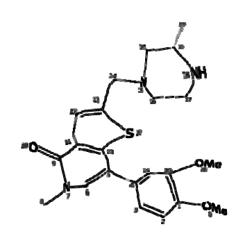 COc1ccc(-c2cn(C)c(=O)c3cc(CN4CCN[C@@H](C)C4)sc23)cc1OC